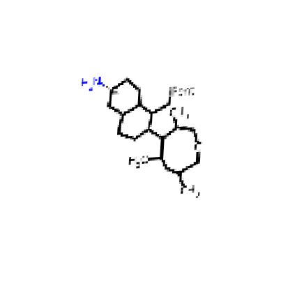 CCCC(C)CC1C2CC[C@@H](N)CC2CCC1C1C(C)CCCC(C)CC1C